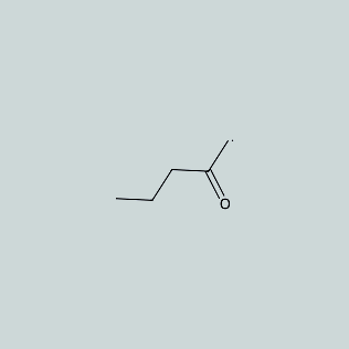 [CH2]C(=O)CCC